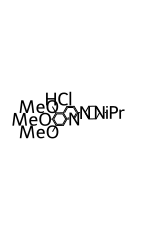 COc1cc2nc(N3CCN(C(C)C)CC3)ccc2c(OC)c1OC.Cl